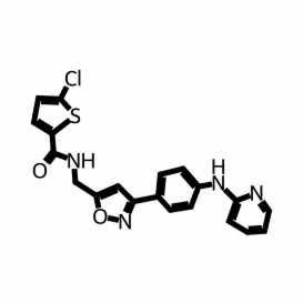 O=C(NCc1cc(-c2ccc(Nc3ccccn3)cc2)no1)c1ccc(Cl)s1